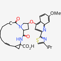 COc1ccc2c(OC3CC4C(=O)NC5(C(=O)O)CC5C=CCCCCCCC(=O)N4C3)cc(-c3nc(C(C)C)cs3)nc2c1